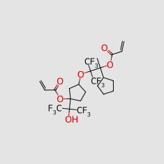 C=CC(=O)OC1(C(O)(C(F)(F)F)C(F)(F)F)CCC(OC(C(F)(F)F)(C(F)(F)F)C(C)(OC(=O)C=C)C2CCCC2)C1